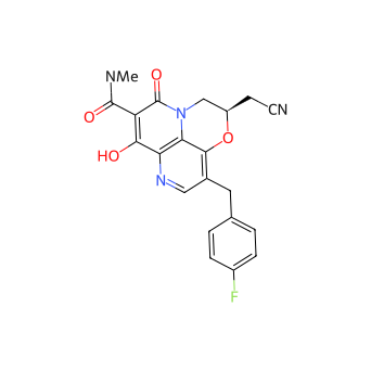 CNC(=O)c1c(O)c2ncc(Cc3ccc(F)cc3)c3c2n(c1=O)C[C@@H](CC#N)O3